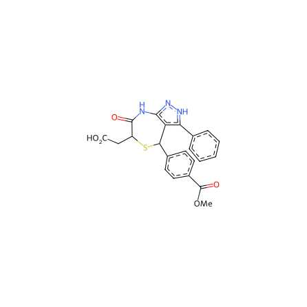 COC(=O)c1ccc(C2SC(CC(=O)O)C(=O)Nc3n[nH]c(-c4ccccc4)c32)cc1